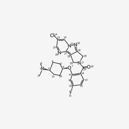 CN(C)[C@H]1CC[C@@H](Oc2cc(F)ccc2C(=O)N2Cc3nn4cc(Cl)cnc4c3C2)CC1